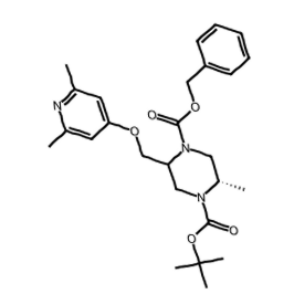 Cc1cc(OCC2CN(C(=O)OC(C)(C)C)[C@@H](C)CN2C(=O)OCc2ccccc2)cc(C)n1